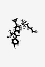 CNC(=O)c1c(-c2ccc(C)cc2)oc2nc(NS(=O)(=O)CCCCBr)c(C3CC3)cc12